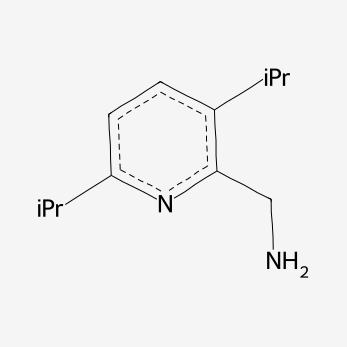 CC(C)c1ccc(C(C)C)c(CN)n1